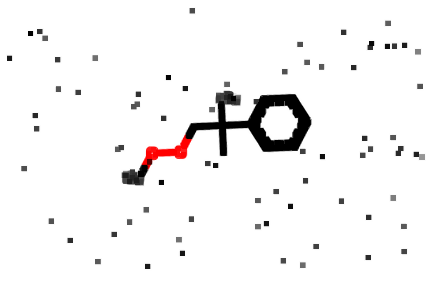 CCCCC(C)(COOC(C)(C)C)c1ccccc1